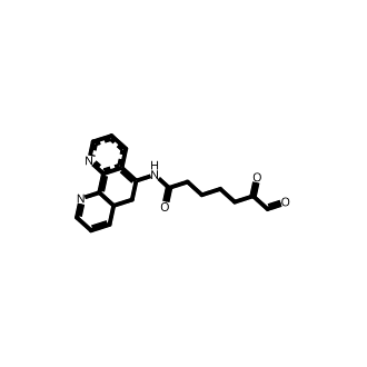 O=CC(=O)CCCCC(=O)NC1=c2cccnc2=C2N=CC=CC2C1